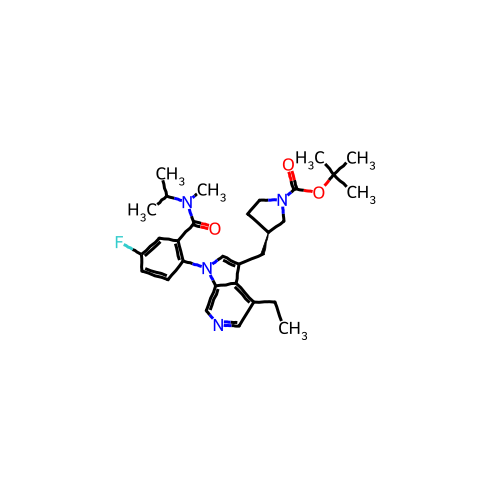 CCc1cncc2c1c(C[C@H]1CCN(C(=O)OC(C)(C)C)C1)cn2-c1ccc(F)cc1C(=O)N(C)C(C)C